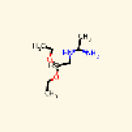 CCO[SiH](CNC(C)N)OCC